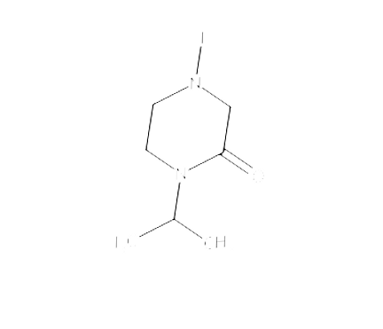 CC(C)N1CCN(I)CC1=O